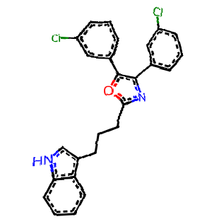 Clc1cccc(-c2nc(CCCc3c[nH]c4ccccc34)oc2-c2cccc(Cl)c2)c1